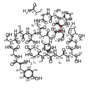 CC(C)[C@H](NC(=O)[C@H](Cc1c[nH]cn1)NC(=O)[C@H](C)NC(=O)[C@H](CCC(N)=O)NC(=O)[C@@H](NC(=O)[C@H](Cc1c[nH]cn1)NC(=O)[C@@H]1CCCN1C(=O)[C@H](CO)NC(=O)[C@@H](NC(=O)[C@H](C)NC(=O)[C@@H](N(C)C(=O)[C@H](C)NC(=O)[C@H](C)NC(=O)[C@H](C)NC(=O)[C@H](C)NC(=O)[C@H](CO)NC(=O)CNC(=O)[C@@H](N)Cc1ccc(O)cc1)C(C)(C)C)[C@@H](C)O)C(C)C)C(=O)N[C@@H](C)C(=O)O